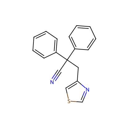 N#CC(Cc1cscn1)(c1ccccc1)c1ccccc1